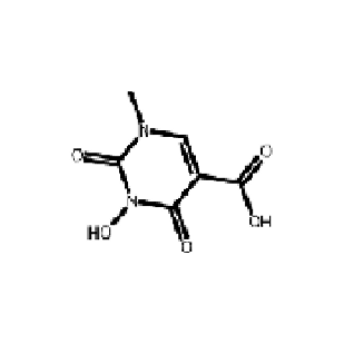 Cn1cc(C(=O)O)c(=O)n(O)c1=O